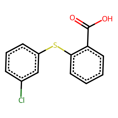 O=C(O)c1ccccc1Sc1cccc(Cl)c1